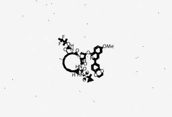 COc1ccc2c(OC3C[C@H]4C(=O)N[C@]5(C(=O)NS(=O)(=O)C6(C)CC6)C[C@H]5/C=C\CC[C@H](C)C[C@@H](C)[C@H](NC(=O)OC(C)(C)C(C)(F)F)C(=O)N4C3)nc(-c3ccc4c(c3)OCCO4)cc2c1